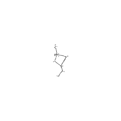 [CH2-][NH+]1CC(CC)C1